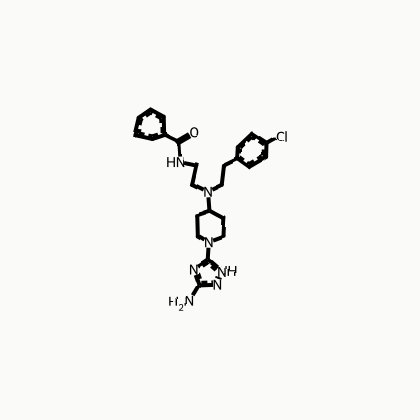 Nc1n[nH]c(N2CCC(N(CCNC(=O)c3ccccc3)CCc3ccc(Cl)cc3)CC2)n1